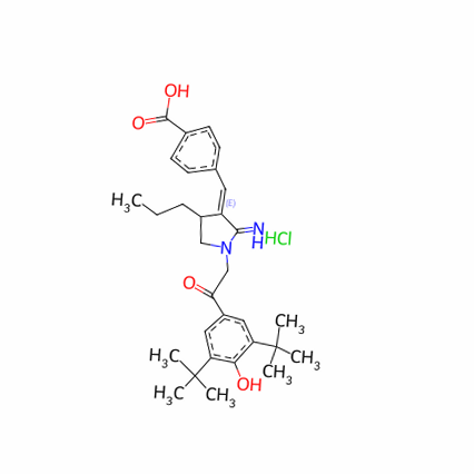 CCCC1CN(CC(=O)c2cc(C(C)(C)C)c(O)c(C(C)(C)C)c2)C(=N)/C1=C/c1ccc(C(=O)O)cc1.Cl